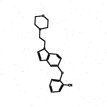 N#Cc1ccccc1Oc1ccc2c(ccn2CCN2CCOCC2)c1